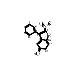 O=C1C=c2c(-c3ccccc3)c([N+](=O)[O-])oc2=CC1